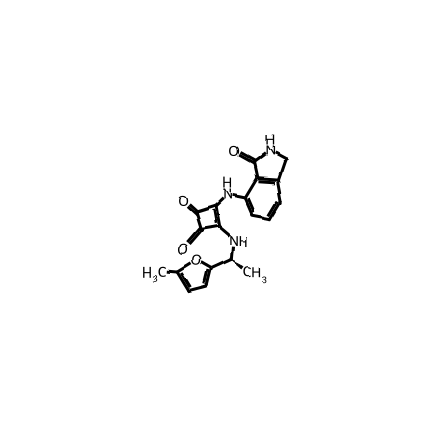 Cc1ccc([C@H](C)Nc2c(Nc3cccc4c3C(=O)NC4)c(=O)c2=O)o1